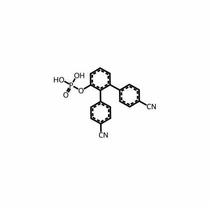 N#Cc1ccc(-c2cccc(OP(=O)(O)O)c2-c2ccc(C#N)cc2)cc1